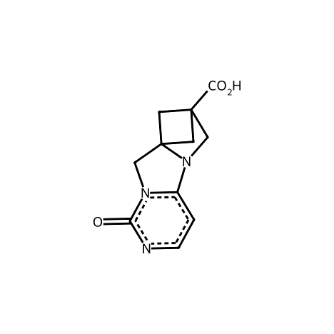 O=C(O)C12CN3c4ccnc(=O)n4CC3(C1)C2